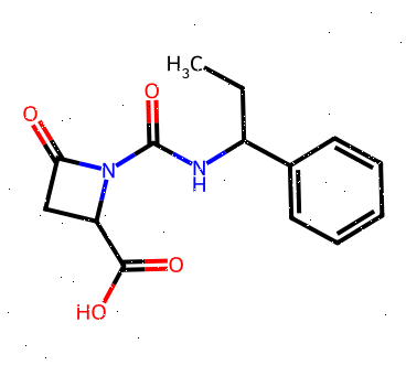 CCC(NC(=O)N1C(=O)CC1C(=O)O)c1ccccc1